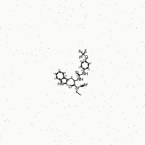 CCN(C#N)C(=O)C(Cc1c[nH]c2ccccc12)NC(=S)Nc1ccc(OC(F)(F)F)cc1